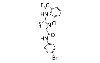 O=C(Nc1ccc(Br)cc1)C1CSC(Nc2c(Cl)cccc2C(F)(F)F)=N1